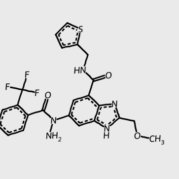 COCc1nc2c(C(=O)NCc3cccs3)cc(N(N)C(=O)c3ccccc3C(F)(F)F)cc2[nH]1